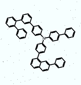 c1ccc(-c2ccc(N(c3ccc(-c4cccc(-c5ccccc5-c5ccccc5)c4)cc3)c3ccc(-c4cccc5ccc(-c6ccccc6)cc45)cc3)cc2)cc1